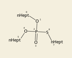 CCCCCCCOP(=O)(OCCCCCCC)SCCCCCCC